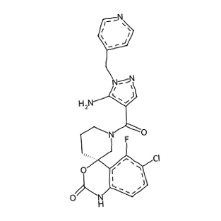 Nc1c(C(=O)N2CCC[C@@]3(C2)OC(=O)Nc2ccc(Cl)c(F)c23)cnn1Cc1ccncc1